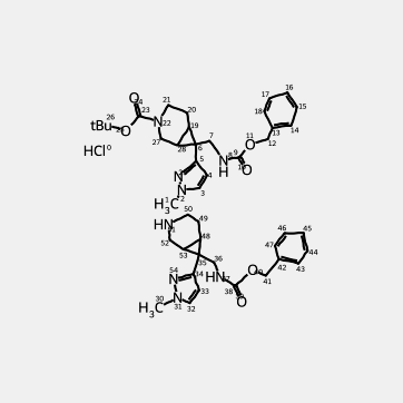 Cl.Cn1ccc(C2(CNC(=O)OCc3ccccc3)C3CCN(C(=O)OC(C)(C)C)CC32)n1.Cn1ccc(C2(CNC(=O)OCc3ccccc3)C3CCNCC32)n1